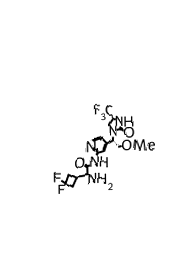 COC[C@H](c1ccnc(NC(=O)[C@@H](N)C2CC(F)(F)C2)c1)N1C[C@@H](C(F)(F)F)NC1=O